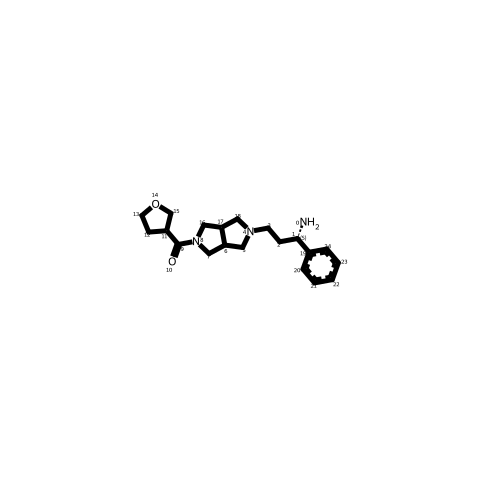 N[C@@H](CCN1CC2CN(C(=O)C3CCOC3)CC2C1)c1ccccc1